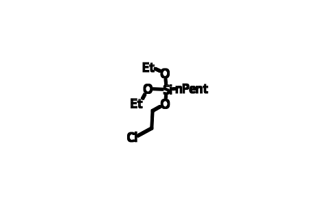 CCCCC[Si](OCC)(OCC)OCCCl